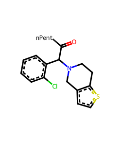 CCCCCC(=O)C(c1ccccc1Cl)N1CCc2sccc2C1